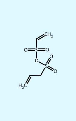 C=CCS(=O)(=O)OS(=O)(=O)C=C